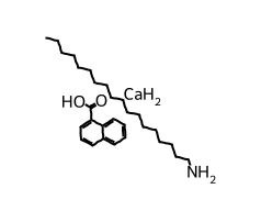 CCCCCCCCCCCCCCCCCCN.O=C(O)c1cccc2ccccc12.[CaH2]